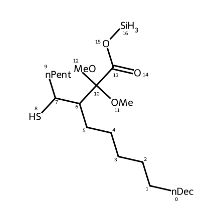 CCCCCCCCCCCCCCCC(C(S)CCCCC)C(OC)(OC)C(=O)O[SiH3]